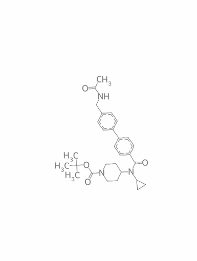 CC(=O)NCc1ccc(-c2ccc(C(=O)N(C3CC3)C3CCN(C(=O)OC(C)(C)C)CC3)cc2)cc1